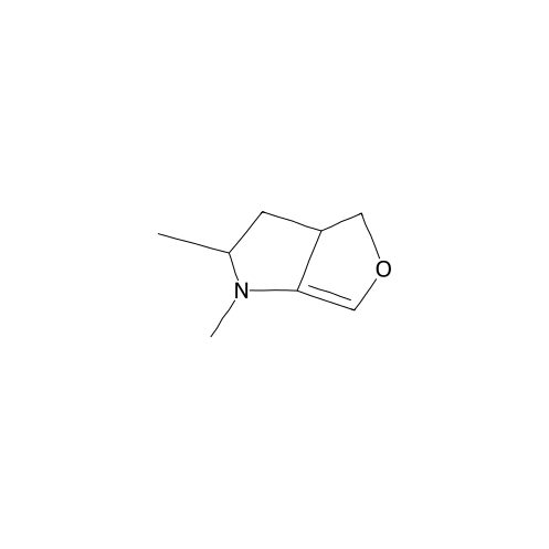 CC1CC2COC=C2N1C